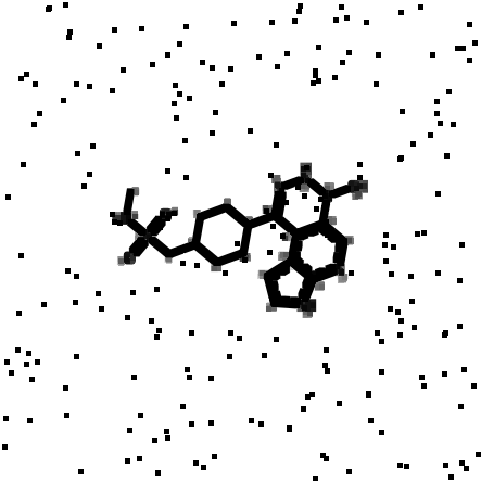 CNS(=O)(=O)CC1CCC(C2=NNB(O)c3cnc4[nH]ccc4c32)CC1